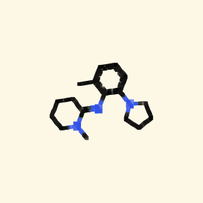 Cc1cccc(N2CCCC2)c1N=C1CCCCN1C